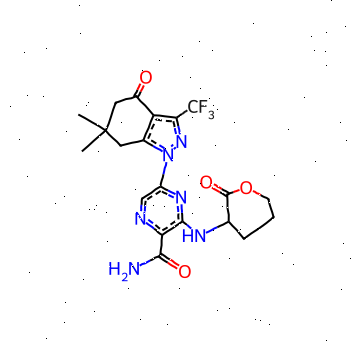 CC1(C)CC(=O)c2c(C(F)(F)F)nn(-c3cnc(C(N)=O)c(NC4CCCOC4=O)n3)c2C1